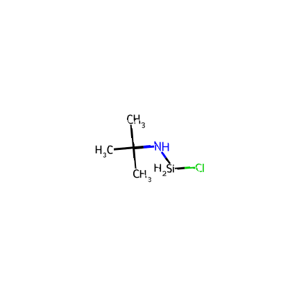 CC(C)(C)N[SiH2]Cl